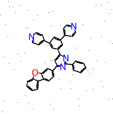 c1ccc(-c2nc(-c3cc(-c4ccncc4)cc(-c4ccncc4)c3)cc(-c3ccc4c(c3)oc3ccccc34)n2)cc1